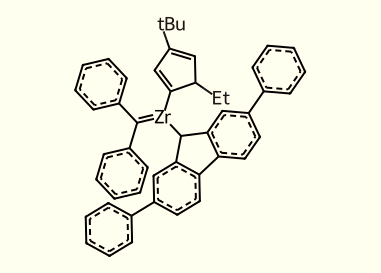 CCC1C=C(C(C)(C)C)C=[C]1[Zr](=[C](c1ccccc1)c1ccccc1)[CH]1c2cc(-c3ccccc3)ccc2-c2ccc(-c3ccccc3)cc21